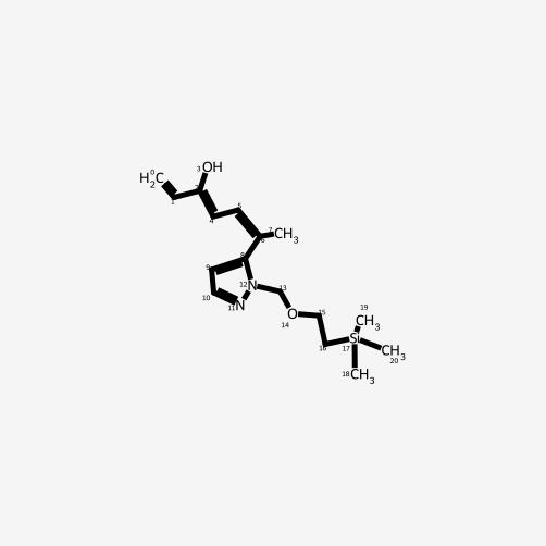 C=C/C(O)=C/C=C(/C)c1ccnn1COCC[Si](C)(C)C